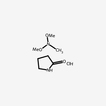 CON(C)OC.Cl.O=C1CCCN1